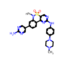 CCCN1c2cc(-c3cnc(N)nc3)ccc2-c2nc(Nc3ccc(N4CCN(C)CC4)cc3)ncc2S1(=O)=O